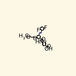 COCCCOc1cc(/C=C/c2cc(F)ccc2F)cc(C(=O)Nc2ccc(C(=O)O)cn2)c1